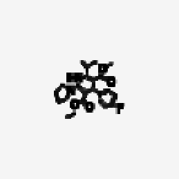 CCOC(=O)C1=C(N2CCCC2)NC(C(C)C)=C(C(=O)OC)C1c1ccc(F)cc1